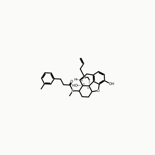 C=CCN1CC[C@]23c4c5ccc(O)c4OC2CCC(N(C)C(=O)CCc2cccc(C)c2)[C@@]3(O)[C@H]1C5